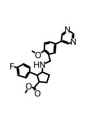 COC(=O)C1CCC(NCc2cc(-c3cncnc3)ccc2OC)C1c1ccc(F)cc1